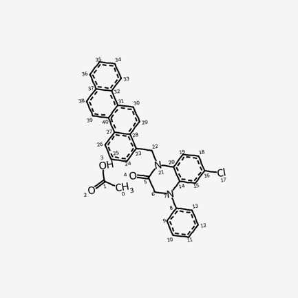 CC(=O)O.O=C1CN(c2ccccc2)c2cc(Cl)ccc2N1Cc1cccc2c1ccc1c3ccccc3ccc21